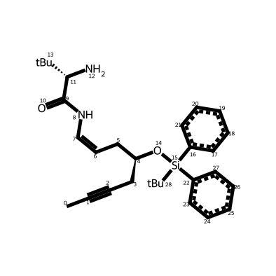 CC#CC[C@@H](C/C=C\NC(=O)[C@@H](N)C(C)(C)C)O[Si](c1ccccc1)(c1ccccc1)C(C)(C)C